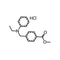 CCN(Cc1ccc(C(=O)OC)cc1)c1ccccc1.Cl